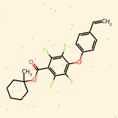 C=Cc1ccc(Oc2c(F)c(F)c(C(=O)OC3(C)CCCCC3)c(F)c2F)cc1